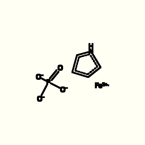 O=P([O-])([O-])[O-].[Fe+3].c1cc[nH]c1